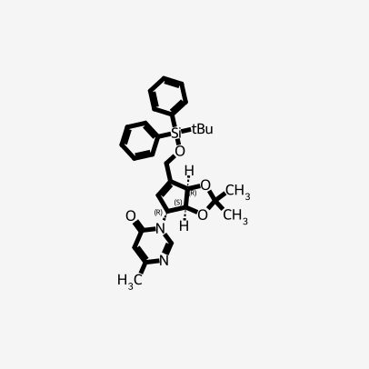 Cc1cc(=O)n([C@@H]2C=C(CO[Si](c3ccccc3)(c3ccccc3)C(C)(C)C)[C@H]3OC(C)(C)O[C@H]32)cn1